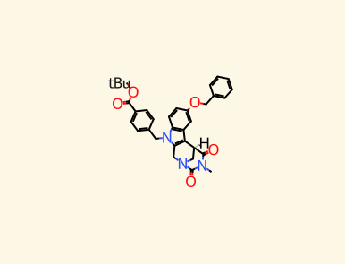 CN1C(=O)[C@H]2CN(Cc3c2c2cc(OCc4ccccc4)ccc2n3Cc2ccc(C(=O)OC(C)(C)C)cc2)C1=O